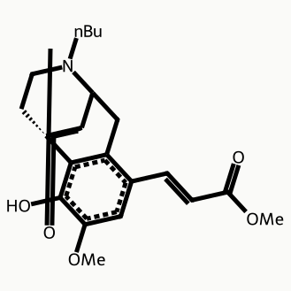 CCCCN1CC[C@@]23CC(=O)CCC2C1Cc1c(/C=C/C(=O)OC)cc(OC)c(O)c13